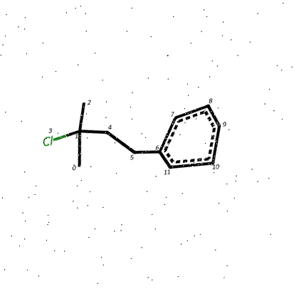 CC(C)(Cl)CCc1ccccc1